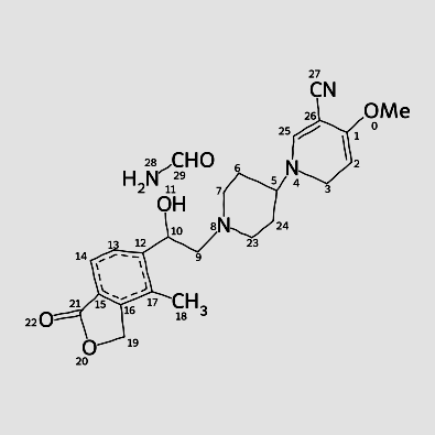 COC1=CCN(C2CCN(CC(O)c3ccc4c(c3C)COC4=O)CC2)C=C1C#N.NC=O